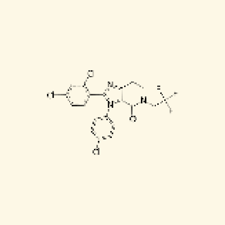 O=C1c2c(nc(-c3ccc(Cl)cc3Cl)n2-c2ccc(Cl)cc2)CCN1CC(F)(F)F